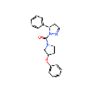 O=C(N1CCC(Oc2ccccc2)C1)N1N=CCC1c1ccccc1